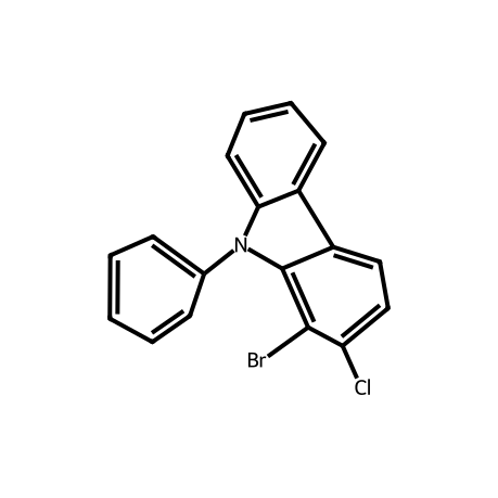 Clc1ccc2c3ccccc3n(-c3ccccc3)c2c1Br